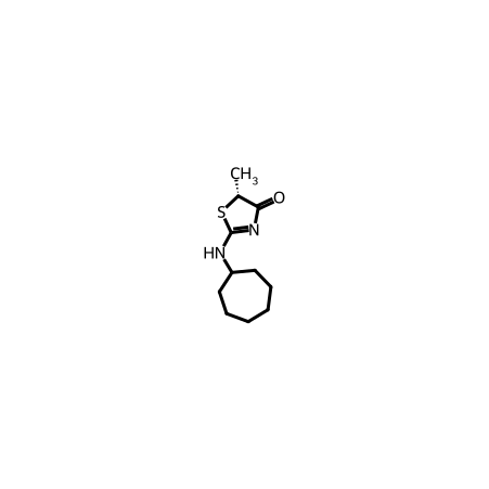 C[C@H]1SC(NC2CCCCCC2)=NC1=O